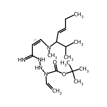 C=CN(NNC(=N)/C=C\N(C)C(C=CCC)C(C)C)C(=O)OC(C)(C)C